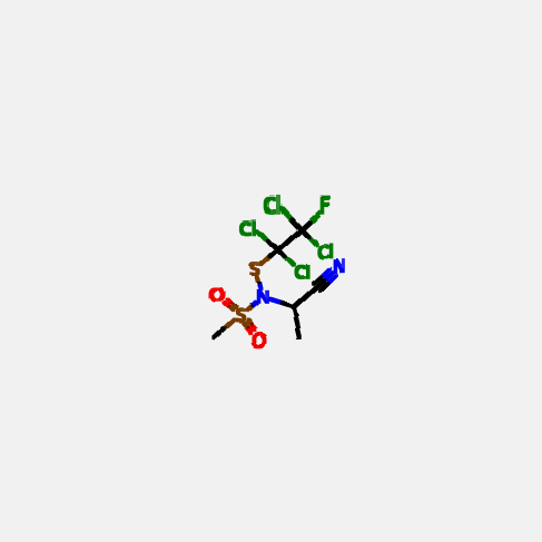 CC(C#N)N(SC(Cl)(Cl)C(F)(Cl)Cl)S(C)(=O)=O